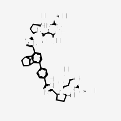 COC(=O)N[C@H](C(=O)N1C(c2ncc(-c3ccc(-c4ccc(-c5cnc([C@@H]6CC[C@H](C)N6C(=O)[C@@H](NC(=O)OC)C(C)C)[nH]5)c5c4C4CCC5C4)cc3)[nH]2)CC[C@@H]1C)C(C)C